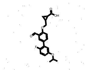 CC(C)Oc1ccc(F)c(-c2ccc(OCC3CC3C(=O)O)c(C=O)c2)c1